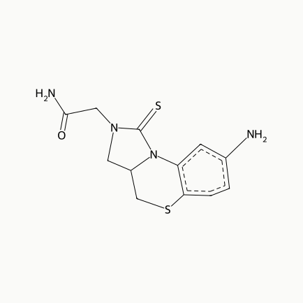 NC(=O)CN1CC2CSc3ccc(N)cc3N2C1=S